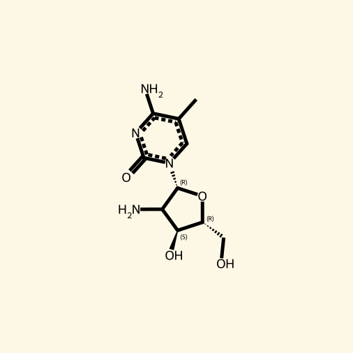 Cc1cn([C@@H]2O[C@H](CO)[C@@H](O)C2N)c(=O)nc1N